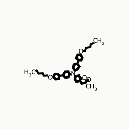 CCCCCCOc1ccc(-c2ccc(N(c3ccc(-c4ccc(OCCCCCC)cc4)cc3)c3ccc4cc(C)c(=O)oc4c3)cc2)cc1